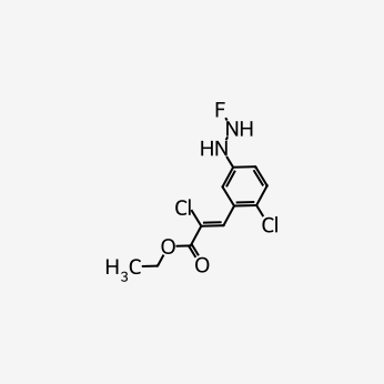 CCOC(=O)C(Cl)=Cc1cc(NNF)ccc1Cl